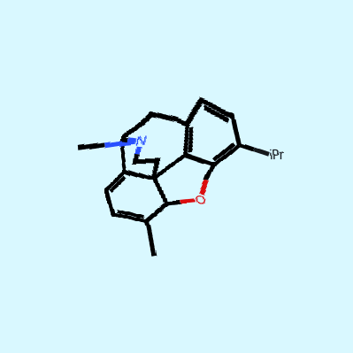 CC1=CC=C2C3Cc4ccc(C(C)C)c5c4C2(CCN3C)C1O5